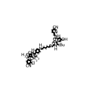 CC(C)(C)C(NC(=O)COCCCCCNc1ccc(C(=O)N[C@H]2C(C)(C)[C@H](Oc3ccc(C#N)c(Cl)c3)C2(C)C)cc1)C(=O)N1C[C@H](O)C[C@H]1C(=O)NCc1ccc(C#N)cn1